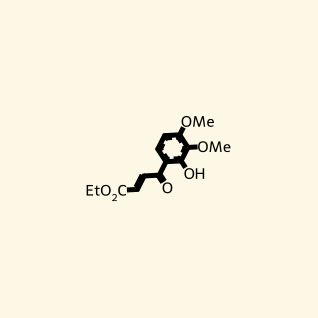 CCOC(=O)C=CC(=O)c1ccc(OC)c(OC)c1O